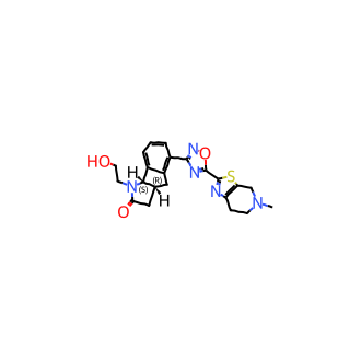 CN1CCc2nc(-c3nc(-c4cccc5c4C[C@@H]4CC(=O)N(CCO)[C@H]54)no3)sc2C1